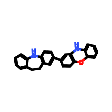 c1ccc2c(c1)CCc1cc(-c3ccc4c(c3)Nc3ccccc3O4)ccc1N2